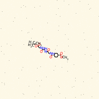 COC(=O)[C@H]1CC[C@H](C(=O)NCC(=O)NCC(=O)NCC(=O)OC(C)(C)C)CC1